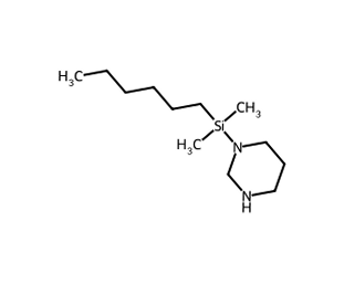 CCCCCC[Si](C)(C)N1CCCNC1